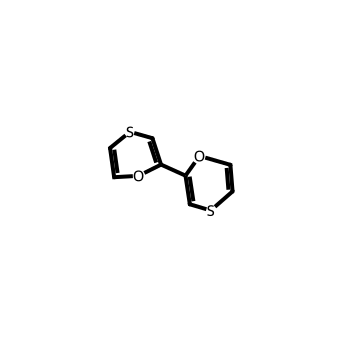 C1=CSC=C(C2=CSC=CO2)O1